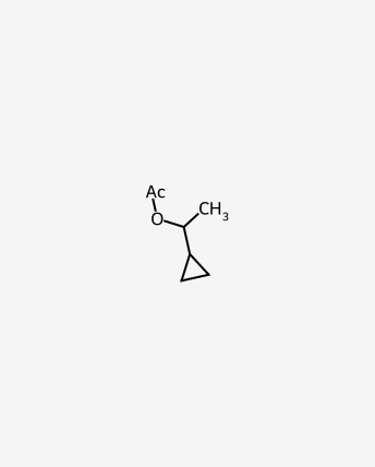 CC(=O)OC(C)C1CC1